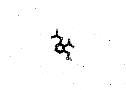 COc1cccc(OC(F)F)c1[N+](=O)[O-]